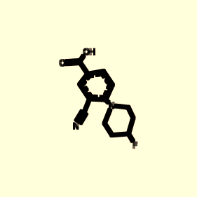 N#Cc1cc(C(=O)O)ccc1N1CCC(F)CC1